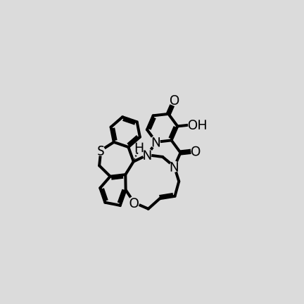 O=C1c2c(O)c(=O)ccn2N2CN1C/C=C/COc1cccc3c1[C@H]2c1ccccc1SC3